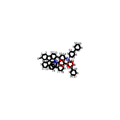 CC1C=CC2=C(C1)C1(c3ccccc3-c3ccccc31)c1c2ccc(-c2ccc(N(c3ccc(-c4ccccc4)cc3)c3ccc(-c4ccccc4)cc3)cc2)c1N(c1ccc(-c2ccccc2)cc1)c1ccccc1-c1ccccc1